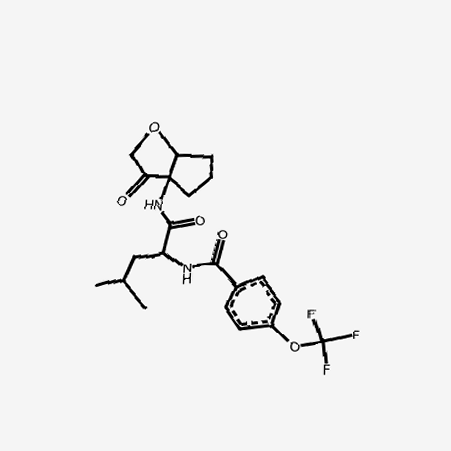 CC(C)CC(NC(=O)c1ccc(OC(F)(F)F)cc1)C(=O)NC12CCCC1OCC2=O